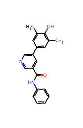 Cc1cc(-c2cncc(C(=O)Nc3ccccc3)c2)cc(C)c1O